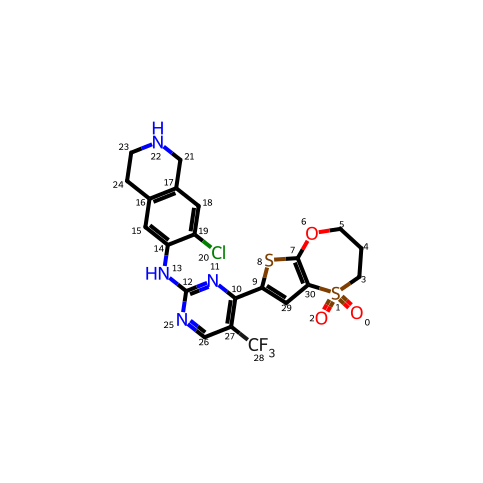 O=S1(=O)CCCOc2sc(-c3nc(Nc4cc5c(cc4Cl)CNCC5)ncc3C(F)(F)F)cc21